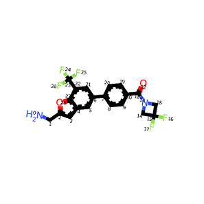 NCc1cc2cc(-c3ccc(C(=O)N4CC(F)(F)C4)cc3)cc(C(F)(F)F)c2o1